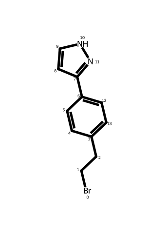 BrCCc1ccc(-c2cc[nH]n2)cc1